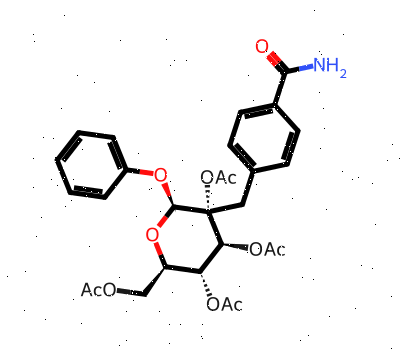 CC(=O)OC[C@H]1O[C@@H](Oc2ccccc2)[C@](Cc2ccc(C(N)=O)cc2)(OC(C)=O)[C@@H](OC(C)=O)[C@@H]1OC(C)=O